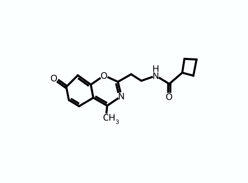 Cc1nc(CCNC(=O)C2CCC2)oc2cc(=O)ccc1-2